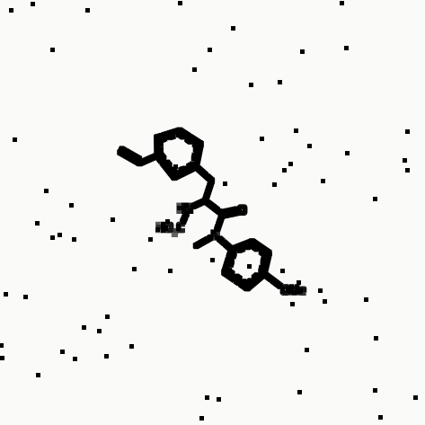 C=Cc1cccc(CC(NC(=O)O)C(=O)N(C)c2ccc(OC)cc2)c1